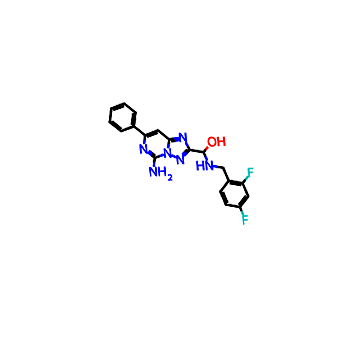 Nc1nc(-c2ccccc2)cc2nc(C(O)NCc3ccc(F)cc3F)nn12